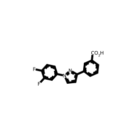 O=C(O)c1cccc(-c2ccn(-c3ccc(F)c(F)c3)n2)c1